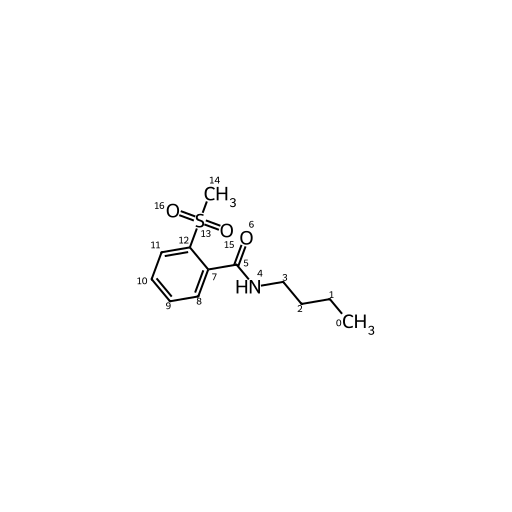 CCCCNC(=O)c1ccccc1S(C)(=O)=O